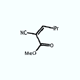 COC(=O)/C(C#N)=C\C(C)C